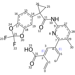 C=C/C(=C\C(=C/C)c1nc(NC(=O)C2(c3ccc4c(c3)OC(F)(F)O4)CC2)ccc1C)C(=O)O